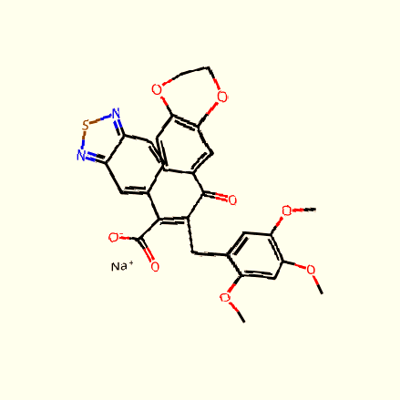 COc1cc(OC)c(OC)cc1CC(C(=O)c1ccc2c(c1)OCCO2)=C(C(=O)[O-])c1ccc2nsnc2c1.[Na+]